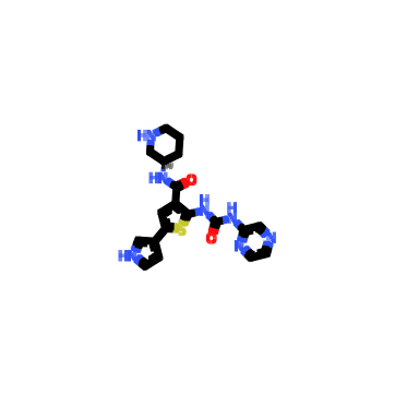 O=C(Nc1cnccn1)Nc1sc(-c2cc[nH]c2)cc1C(=O)N[C@H]1CCCNC1